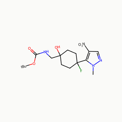 Cn1ncc([N+](=O)[O-])c1C1(F)CCC(O)(CNC(=O)OC(C)(C)C)CC1